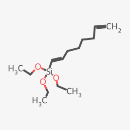 C=CCCCC/C=C/[Si](OCC)(OCC)OCC